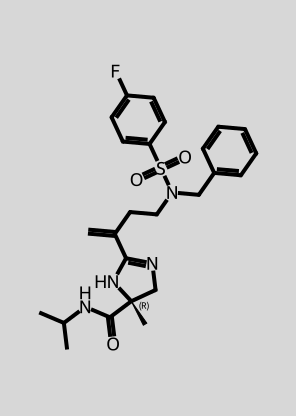 C=C(CCN(Cc1ccccc1)S(=O)(=O)c1ccc(F)cc1)C1=NC[C@](C)(C(=O)NC(C)C)N1